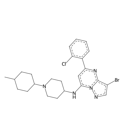 CC1CCC(N2CCC(Nc3cc(-c4ccccc4Cl)nc4c(Br)cnn34)CC2)CC1